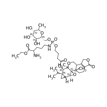 CCOC(=O)C(N)CCCNP(=O)(OCCCC(=O)O[C@@H]1[C@@]2(C(C)C)C[C@H]2[C@@H]2O[C@@]23[C@@]2(C)CCC4=C(COC4=O)C2CO[C@]13C)OC[C@H]1OC(C)[C@@H](O)[C@@H](O)[C@@H]1O